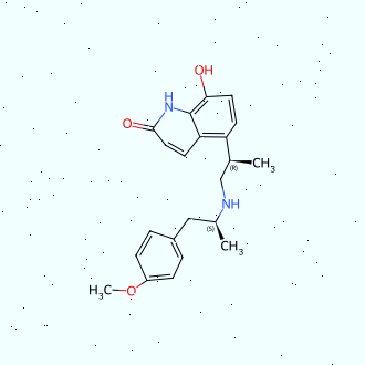 COc1ccc(C[C@H](C)NC[C@H](C)c2ccc(O)c3[nH]c(=O)ccc23)cc1